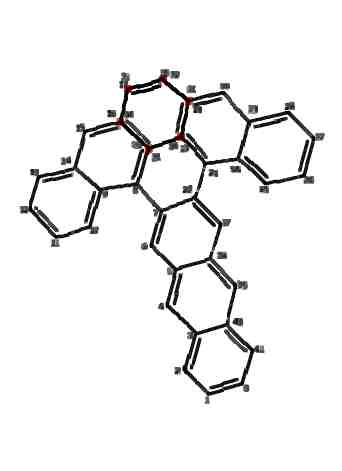 c1ccc2cc3cc(-c4c5ccccc5cc5ccccc45)c(-c4c5ccccc5cc5ccccc45)cc3cc2c1